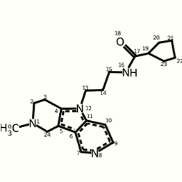 CN1CCc2c(c3cnccc3n2CCCNC(=O)C2CCCC2)C1